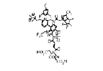 C[C@@H]1c2c(C(F)(F)F)nn(CC(=O)N[C@@H](Cc3cc(F)cc(F)c3)c3nc(CCC(C)(C)S(C)(=O)=O)ccc3-c3ccc(Cl)c4c(N(C(=O)/C=C/C(=O)N(CCC(=O)O)[C@@H](CC(=O)O)C(=O)O)S(C)(=O)=O)nn(CC(F)(F)F)c34)c2C(F)(F)[C@@H]1C